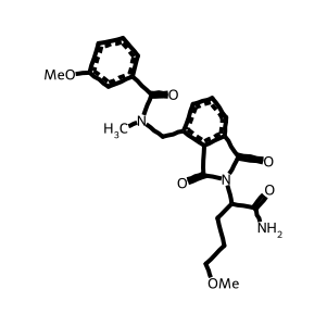 COCCCC(C(N)=O)N1C(=O)c2cccc(CN(C)C(=O)c3cccc(OC)c3)c2C1=O